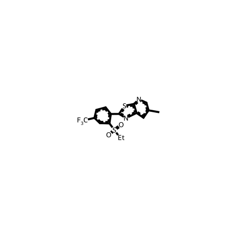 CCS(=O)(=O)c1cc(C(F)(F)F)ccc1-c1nc2cc(C)cnc2s1